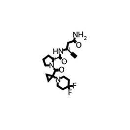 C#C[C@H](CC(N)=O)NC(=O)[C@@H]1CCCN1C(=O)C1(N2CCC(F)(F)CC2)CC1